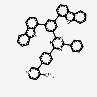 Cc1ccncc1-c1ccc(-c2nc(-c3ccccc3)nc(-c3cc(-c4cccc5c4sc4ccccc45)cc(-c4cccc5c4sc4ccccc45)c3)n2)cc1